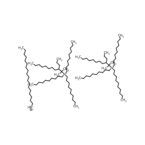 CCCCCCCCCCCCCCCCCC[NH-].CCCCCCCCCC[N+](CCCCCCCCCC)(CCCCCCCCCC)C(C)(C)C(CCC)CCCCCCCC.CCCCCCCCCC[N+](CCCCCCCCCC)(CCCCCCCCCC)C(C)(C)C(CCC)CCCCCCCC.[Br-]